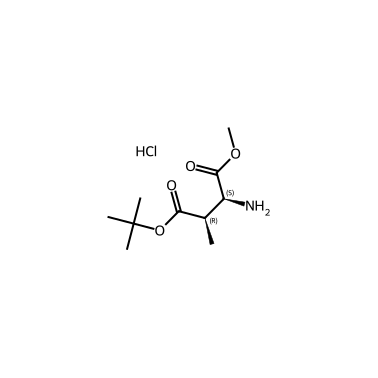 COC(=O)[C@@H](N)[C@@H](C)C(=O)OC(C)(C)C.Cl